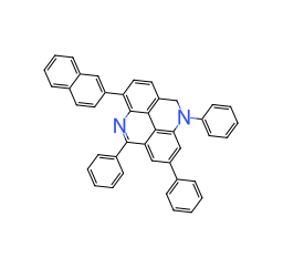 c1ccc(-c2cc3c4c(c2)c(-c2ccccc2)nc2c(-c5ccc6ccccc6c5)ccc(c24)CN3c2ccccc2)cc1